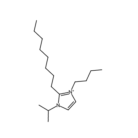 CCCCCCCCc1n(C(C)C)cc[n+]1CCCC